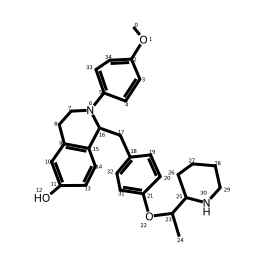 COc1ccc(N2CCc3cc(O)ccc3C2Cc2ccc(OC(C)C3CCCCN3)cc2)cc1